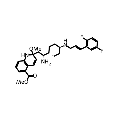 COC(=O)c1cccc2c1C=CC(C[C@@H](N)[C@H]1CC[C@H](NC/C=C/c3cc(F)ccc3F)CC1)(OC)N2